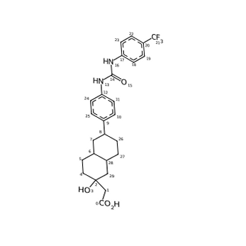 O=C(O)CC1(O)CCC2CC(c3ccc(NC(=O)Nc4ccc(C(F)(F)F)cc4)cc3)CCC2C1